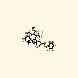 O=C1NC(=O)C(n2ccc3ccccc32)=C1c1c[nH]c2ccc(CCc3ccccc3)cc12